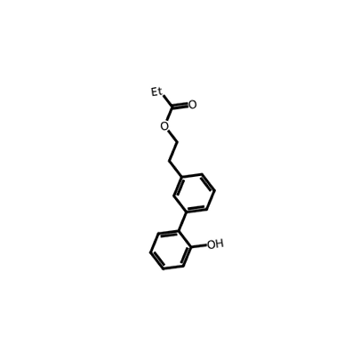 CCC(=O)OCCc1cccc(-c2ccccc2O)c1